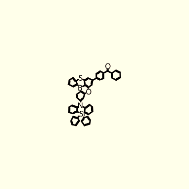 O=C(c1ccccc1)c1ccc(-c2cc3c4c(c2)Sc2ccccc2B4c2ccc(N4c5ccccc5[Si](c5ccccc5)(c5ccccc5)c5ccccc54)cc2O3)cc1